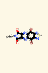 CCCCCCN1C(=O)c2nc3c(Br)c4nsnc4c(Br)c3nc2C1=O